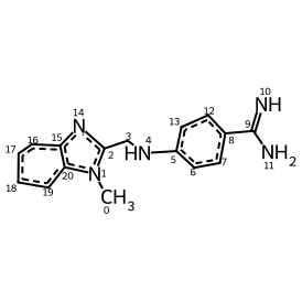 Cn1c(CNc2ccc(C(=N)N)cc2)nc2ccccc21